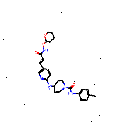 Cc1ccc(NC(=O)N2CCC(Nc3ccc(C=CC(=O)NOC4CCCCO4)cn3)CC2)cc1